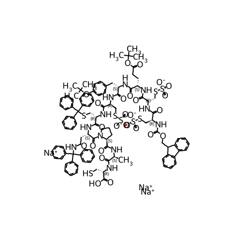 C[C@H](NC(=O)[C@@H]1CCCN1C(=O)[C@H](CC(=O)NC(c1ccccc1)(c1ccccc1)c1ccccc1)NC(=O)[C@H](CSC(c1ccccc1)(c1ccccc1)c1ccccc1)NC(=O)[C@H](CSS(=O)(=O)[O-])NC(=O)[C@H](Cc1ccc(OC(C)(C)C)cc1)NC(=O)[C@H](CCC(=O)OC(C)(C)C)NC(=O)[C@H](CSS(=O)(=O)[O-])NC(=O)[C@H](CSS(=O)(=O)[O-])NC(=O)OCC1c2ccccc2-c2ccccc21)C(=O)N[C@@H](CS)C(=O)O.[Na+].[Na+].[Na+]